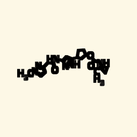 Cn1ccc(CC(=O)Nc2cc([C@H]3CC[C@@H](OC(=O)NC4(C)CC4)C3)[nH]n2)n1